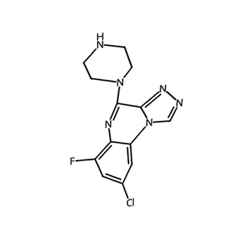 Fc1cc(Cl)cc2c1nc(N1CCNCC1)c1nncn12